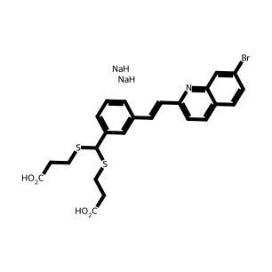 O=C(O)CCSC(SCCC(=O)O)c1cccc(/C=C/c2ccc3ccc(Br)cc3n2)c1.[NaH].[NaH]